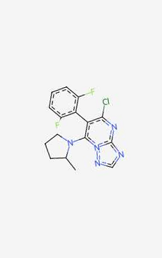 CC1CCCN1c1c(-c2c(F)cccc2F)c(Cl)nc2ncnn12